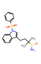 CC(C)(CCc1cn(S(=O)(=O)c2ccccc2)c2ccccc12)[S+](N)[O-]